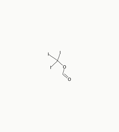 O=COC(I)(I)I